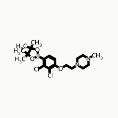 CN1CCN(CCOc2ccc(B3OC(C)(C)C(C)(C)O3)c(Cl)c2Cl)CC1